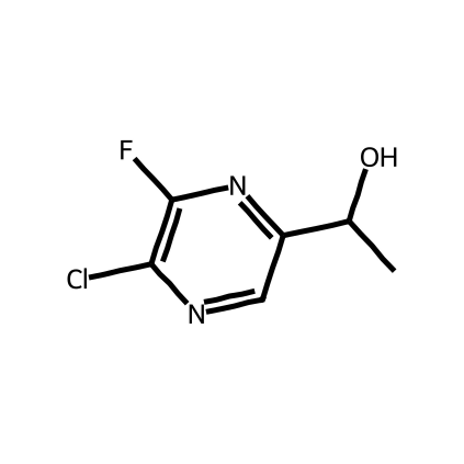 CC(O)c1cnc(Cl)c(F)n1